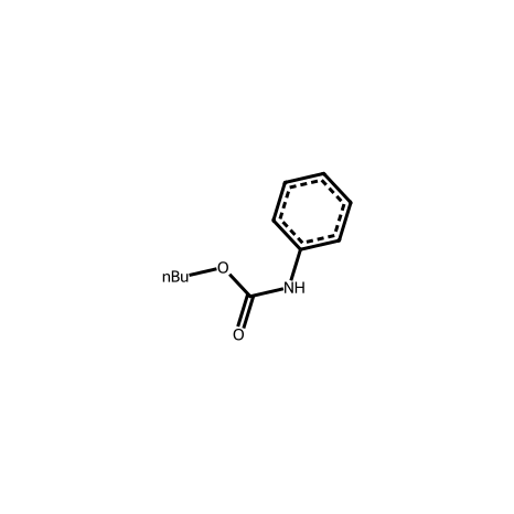 CCCCOC(=O)Nc1ccccc1